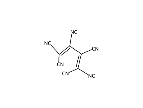 [C-]#[N+]C([N+]#[C-])=C(C#N)C([N+]#[C-])=C(C#N)C#N